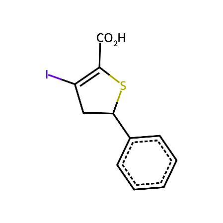 O=C(O)C1=C(I)CC(c2ccccc2)S1